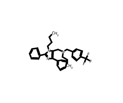 CCCCn1c(-c2ccccc2)nc(-c2ccccc2)c1CN(CCC)Cc1ccc(C(F)(F)F)cc1